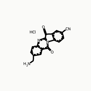 Cl.N#Cc1ccc2c(c1)C(=O)c1nc3ccc(CN)cc3c(=O)n1-2